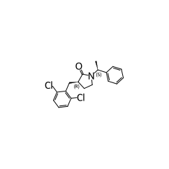 C[C@@H](c1ccccc1)N1CC[C@@H](Cc2c(Cl)cccc2Cl)C1=O